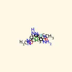 Cc1noc([C@@]2(C)CC[C@]3(CNc4ncc(-c5ccc(N)c(C(=O)N(C)C)c5F)c(Cl)c43)C2)n1